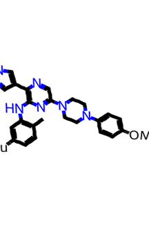 COc1ccc(N2CCN(c3cnc(-c4cnn(C)c4)c(Nc4cc(C(C)(C)C)ccc4C)n3)CC2)cc1